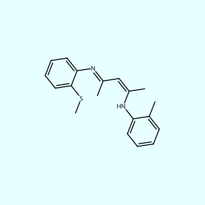 CSc1ccccc1/N=C(C)/C=C(/C)Nc1ccccc1C